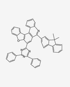 CC1(C)c2ccccc2-c2ccc(-c3nc4ccccc4c4c3cc(-c3nc(-c5ccccc5)nc(-c5ccccc5)n3)c3oc5ccccc5c34)cc21